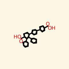 O=C(O)c1ccc(-c2ccc(-c3ccc(C(=O)O)c(-c4ccccc4)c3-c3ccccc3)cc2)cc1